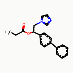 CCC(=O)OC(Cn1ccnc1)c1ccc(-c2ccccc2)cc1